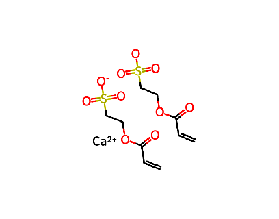 C=CC(=O)OCCS(=O)(=O)[O-].C=CC(=O)OCCS(=O)(=O)[O-].[Ca+2]